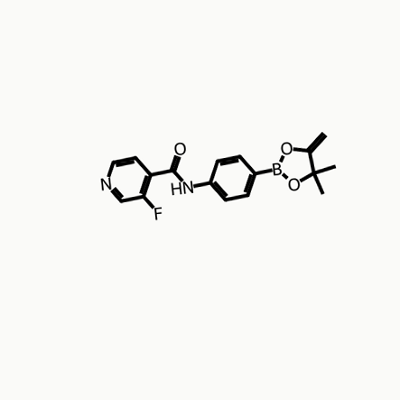 C=C1OB(c2ccc(NC(=O)c3ccncc3F)cc2)OC1(C)C